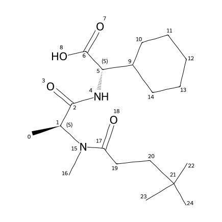 C[C@@H](C(=O)N[C@H](C(=O)O)C1CCCCC1)N(C)C(=O)CCC(C)(C)C